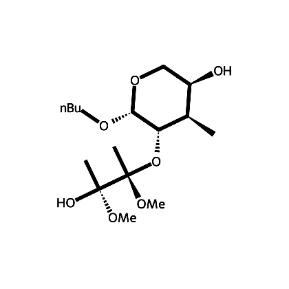 CCCCO[C@@H]1OC[C@@H](O)[C@@H](C)[C@@H]1O[C@](C)(OC)[C@](C)(O)OC